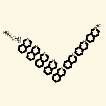 Cl.Cl.Cl.Cl.Cl.Cl.Cl.Cl.c1ccc2cnccc2c1.c1ccc2cnccc2c1.c1ccc2cnccc2c1.c1ccc2cnccc2c1.c1ccc2cnccc2c1.c1ccc2cnccc2c1.c1ccc2cnccc2c1.c1ccc2cnccc2c1